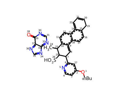 CCCCOc1ccnc(C2C=c3c(ccc4c5c(ccc34)CC=CC=5)C(C)C2S(=O)(=O)O)c1.O=C1N=CN=C2N=CN=C12